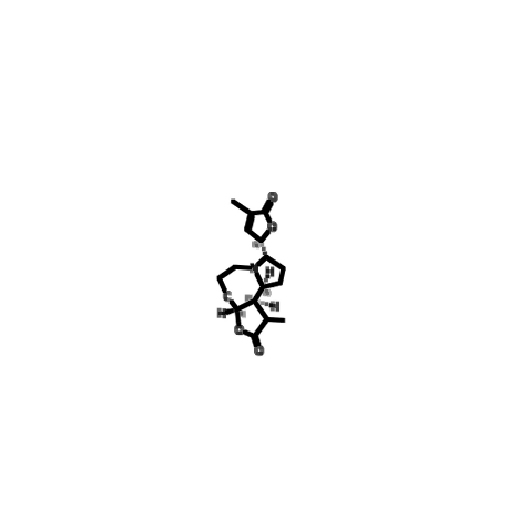 CC1=C[C@@H](C2CC[C@H]3[C@H]4C(C)C(=O)O[C@@H]4CCCN23)OC1=O